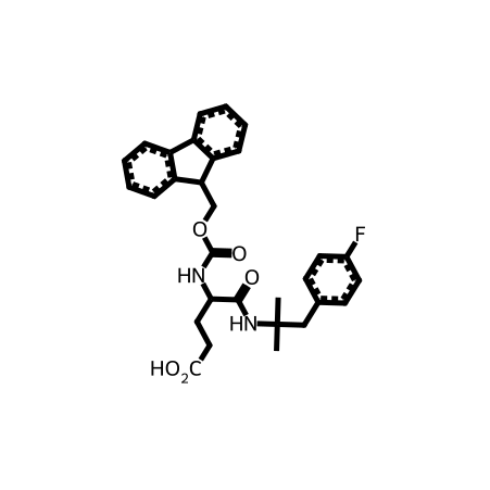 CC(C)(Cc1ccc(F)cc1)NC(=O)C(CCC(=O)O)NC(=O)OCC1c2ccccc2-c2ccccc21